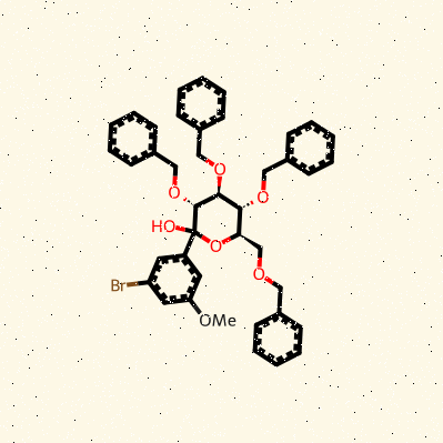 COc1cc(Br)cc(C2(O)O[C@H](COCc3ccccc3)[C@@H](OCc3ccccc3)[C@H](OCc3ccccc3)[C@H]2OCc2ccccc2)c1